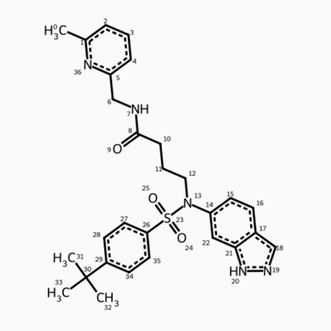 Cc1cccc(CNC(=O)CCCN(c2ccc3cn[nH]c3c2)S(=O)(=O)c2ccc(C(C)(C)C)cc2)n1